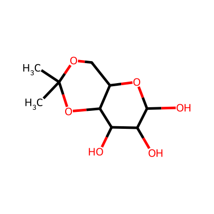 CC1(C)OCC2OC(O)C(O)C(O)C2O1